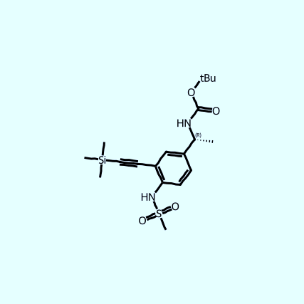 C[C@@H](NC(=O)OC(C)(C)C)c1ccc(NS(C)(=O)=O)c(C#C[Si](C)(C)C)c1